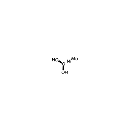 OOO.[Mo].[Ni]